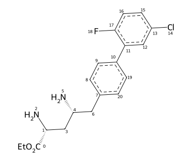 CCOC(=O)[C@H](N)C[C@H](N)Cc1ccc(-c2cc(Cl)ccc2F)cc1